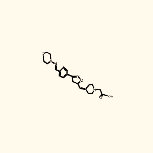 O=C(O)CN1CCC(=CC2CC(c3ccc(C=NN4CCOCC4)cc3)=NO2)CC1